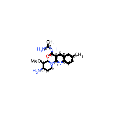 COC1CN(c2nc3ccc(C)cc3cc2C(=O)NC(C)N)CCC1N